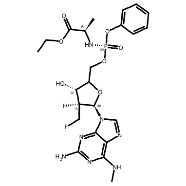 CCOC(=O)[C@@H](C)N[P@](=O)(OCC1O[C@@H](n2cnc3c(NC)nc(N)nc32)[C@@](F)(CF)[C@@H]1O)Oc1ccccc1